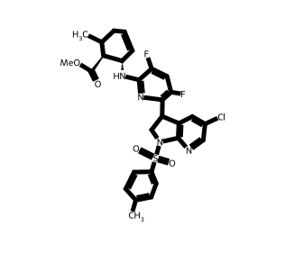 COC(=O)[C@H]1C(C)CC=C[C@@H]1Nc1nc(C2CN(S(=O)(=O)c3ccc(C)cc3)c3ncc(Cl)cc32)c(F)cc1F